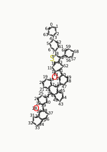 c1ccc(-c2ccc(-c3sc4cc5oc6c(-c7c8ccccc8c(-c8ccc9oc%10c%11ccccc%11ccc%10c9c8)c8ccccc78)cccc6c5cc4c3-c3ccccc3)cc2)cc1